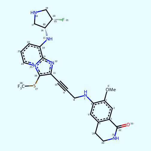 COc1cc2c(cc1NCC#Cc1nc3c(N[C@@H]4CNC[C@@H]4F)cccn3c1SC(F)(F)F)CCNC2=O